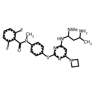 CNC(CC(C)N)Nc1cc(N2CCC2)nc(Sc2ccc(N(C)C(=O)c3c(F)cccc3F)cc2)n1